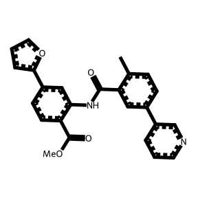 COC(=O)c1ccc(-c2ccco2)cc1NC(=O)c1cc(-c2cccnc2)ccc1C